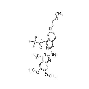 COCCOc1ccc2nc(Nc3nc(C)c4cc(OC)c(OC)cc4n3)nc(OC(=O)C(F)(F)F)c2c1